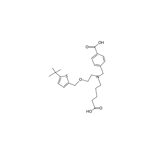 CC(C)(C)c1ccc(COCCN(CCCCC(=O)O)Cc2ccc(C(=O)O)cc2)s1